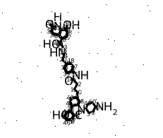 N[C@H]1CC[C@H](N(C(=O)O)c2cc(CCCC(=O)Nc3ccc(CCNC[C@H](O)c4ccc(O)c5[nH]c(=O)ccc45)cc3)ccc2-c2ccccc2)CC1